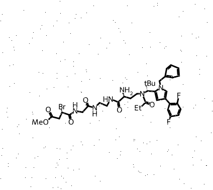 CCC(=O)N(CC[C@H](N)C(=O)NCCNC(=O)CNC(=O)[C@@H](Br)CC(=O)OC)[C@@H](c1cc(-c2cc(F)ccc2F)cn1Cc1ccccc1)C(C)(C)C